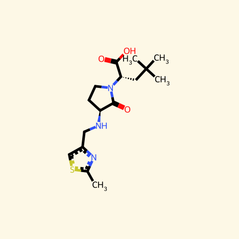 Cc1nc(CN[C@H]2CCN([C@@H](CC(C)(C)C)C(=O)O)C2=O)cs1